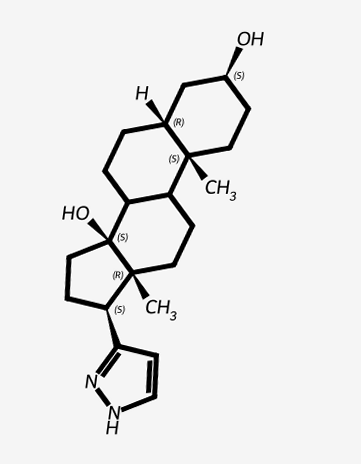 C[C@]12CC[C@H](O)C[C@H]1CCC1C2CC[C@]2(C)[C@@H](c3cc[nH]n3)CC[C@]12O